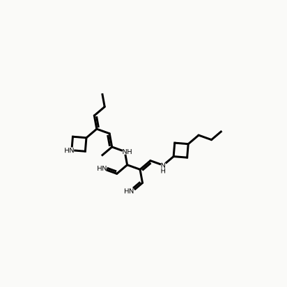 CC/C=C(\C=C(/C)NC(C=N)/C(C=N)=C/NC1CC(CCC)C1)C1CNC1